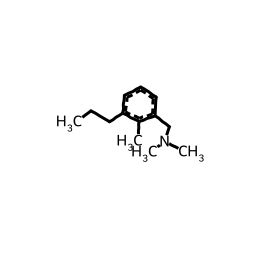 CCCc1cccc(CN(C)C)c1C